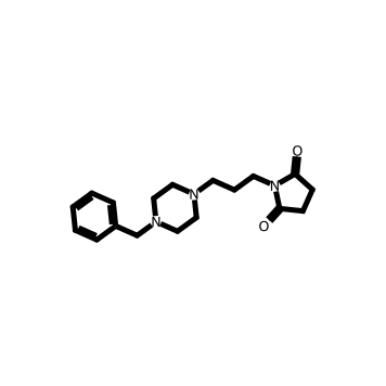 O=C1CCC(=O)N1CCCN1CCN(Cc2ccccc2)CC1